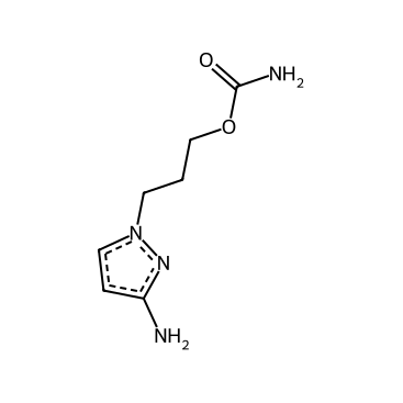 NC(=O)OCCCn1ccc(N)n1